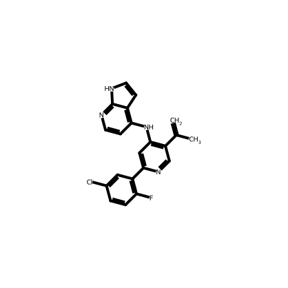 C=C(C)c1cnc(-c2cc(Cl)ccc2F)cc1Nc1ccnc2[nH]ccc12